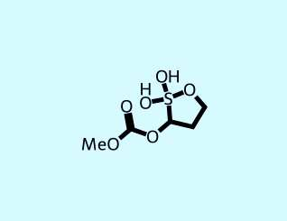 COC(=O)OC1CCOS1(O)O